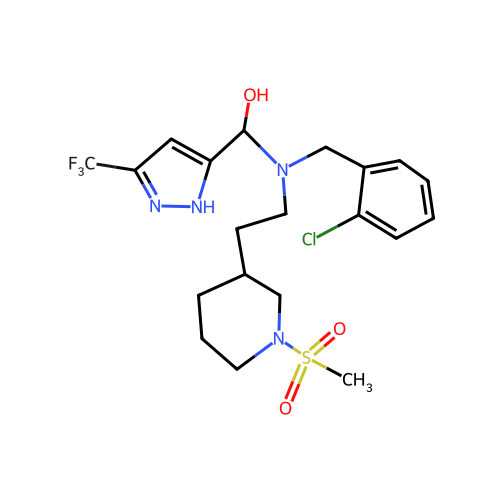 CS(=O)(=O)N1CCCC(CCN(Cc2ccccc2Cl)C(O)c2cc(C(F)(F)F)n[nH]2)C1